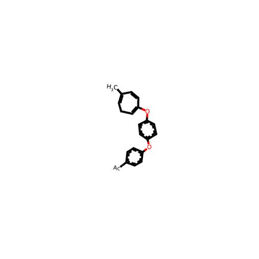 CC(=O)c1ccc(Oc2ccc(OC3=CCC=C(C)C=C3)cc2)cc1